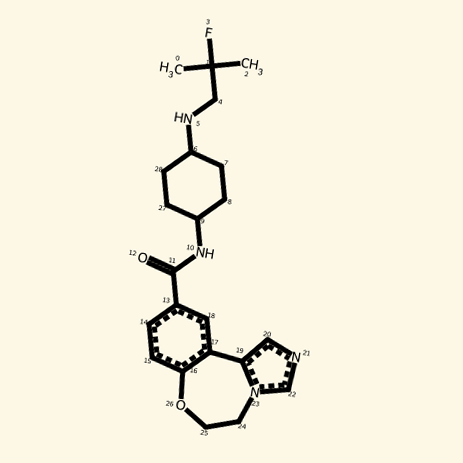 CC(C)(F)CNC1CCC(NC(=O)c2ccc3c(c2)-c2cncn2CCO3)CC1